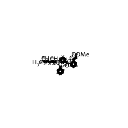 COC(=O)CC(=O)c1ccccc1OC(=O)c1cccc(OC/C=C(\C)CCC=C(C)C)c1OCc1ccccc1